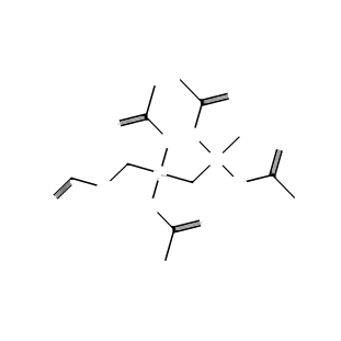 CC(=O)O[Si](C)(C[Si](COC=O)(OC(C)=O)OC(C)=O)OC(C)=O